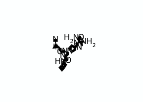 N#C[C@@H]1C[C@@H]1COc1nc(C(=O)NC2CC3CCC32)cc(N2CCC(c3ncc(N)c(C(N)=O)n3)CC2)n1